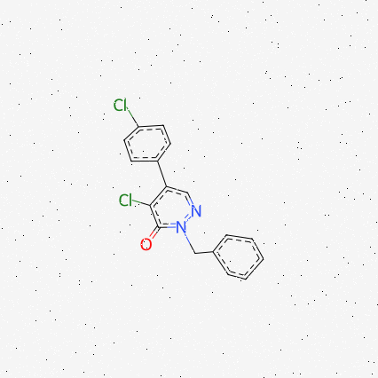 O=c1c(Cl)c(-c2ccc(Cl)cc2)cnn1Cc1ccccc1